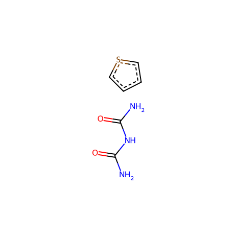 NC(=O)NC(N)=O.c1ccsc1